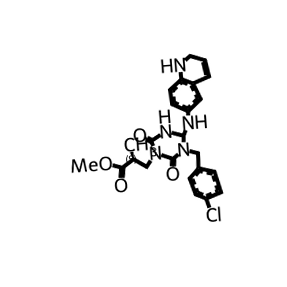 COC(=O)[C@@H](C)CN1C(=O)NC(Nc2ccc3c(c2)C=CCN3)N(Cc2ccc(Cl)cc2)C1=O